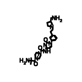 CC(C)(N)C(=O)N1CCN(C(=O)Nc2ccn(-c3cccc(CCN4CCC(CN)C4)c3)c(=O)n2)CC1